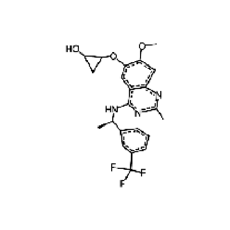 COc1cc2nc(C)nc(N[C@H](C)c3cccc(C(F)(F)F)c3)c2cc1OC1CC1O